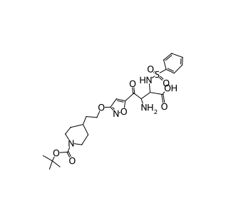 CC(C)(C)OC(=O)N1CCC(CCOc2cc(C(=O)C(N)C(NS(=O)(=O)c3ccccc3)C(=O)O)on2)CC1